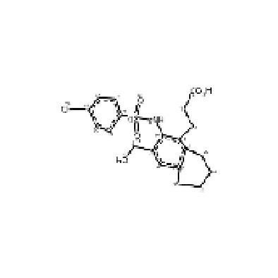 O=C(O)CCc1c2c(cc(CO)c1NS(=O)(=O)c1ccc(Cl)cc1)CCCC2